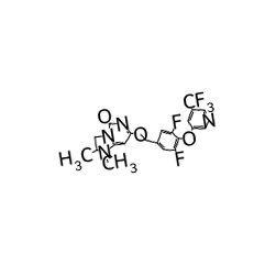 CC1Cn2c(cc(OCc3cc(F)c(Oc4cncc(C(F)(F)F)c4)c(F)c3)nc2=O)N1C